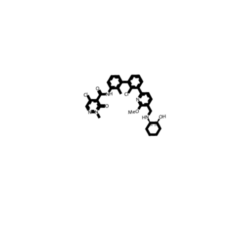 COc1nc(-c2cccc(-c3cccc(NC(=O)c4c(Cl)cnn(C)c4=O)c3C)c2Cl)ccc1CN[C@@H]1CCCC[C@@H]1O